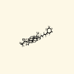 C=C(CCCCC1CCCCC1)N[C@H]1CO[C@H]2[C@@H]1OC[C@@H]2NC(=O)C1CC1